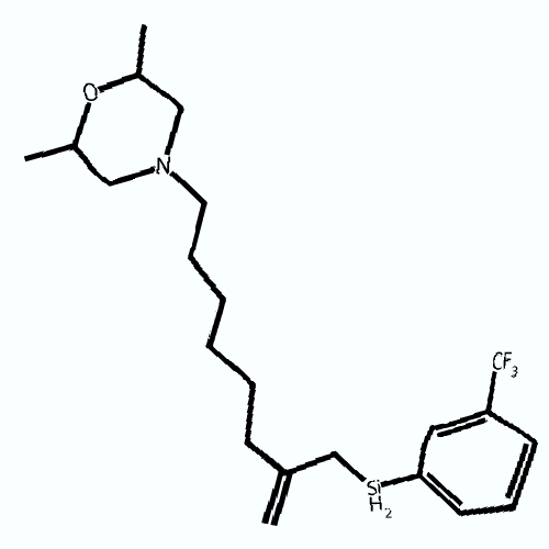 C=C(CCCCCCN1CC(C)OC(C)C1)C[SiH2]c1cccc(C(F)(F)F)c1